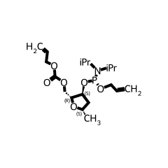 C=CCOC(=O)OC[C@H]1O[C@@H](C)C[C@@H]1OP(OCC=C)N(C(C)C)C(C)C